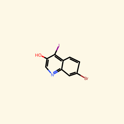 Oc1cnc2cc(Br)ccc2c1I